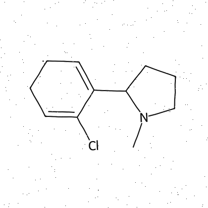 CN1CCCC1C1=C[CH]CC=C1Cl